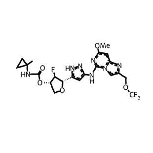 COc1cc2nc(COC(F)(F)F)cn2c(Nc2cc([C@@H]3OC[C@H](OC(=O)NC4(C)CC4)[C@H]3F)[nH]n2)n1